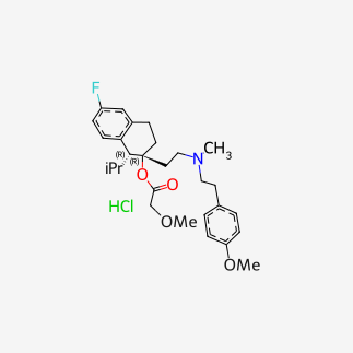 COCC(=O)O[C@@]1(CCN(C)CCc2ccc(OC)cc2)CCc2cc(F)ccc2[C@H]1C(C)C.Cl